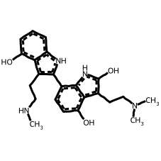 CNCCc1c(-c2ccc(O)c3c(CCN(C)C)c(O)[nH]c23)[nH]c2cccc(O)c12